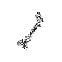 Cn1nc(N2CCC(=O)NC2=O)c2ccc(C3CCN(C(=O)CN4CC5(C4)CN(c4ccc(-c6ccc7cn(C(C(=O)Nc8nccs8)c8ncn9c8CCC9)nc7c6F)cn4)C5)CC3(F)F)cc21